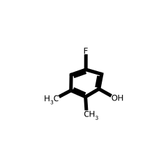 Cc1cc(F)cc(O)c1C